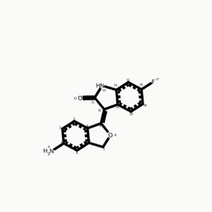 Nc1ccc2c(c1)COC2=C1C(=O)Nc2cc(F)ccc21